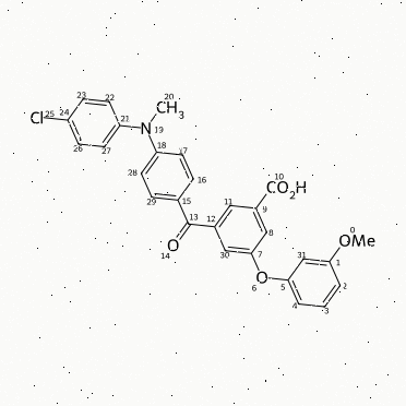 COc1cccc(Oc2cc(C(=O)O)cc(C(=O)c3ccc(N(C)c4ccc(Cl)cc4)cc3)c2)c1